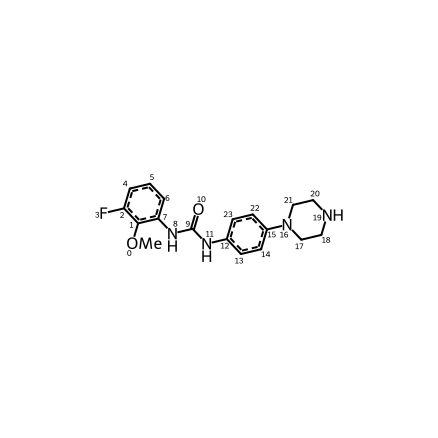 COc1c(F)cccc1NC(=O)Nc1ccc(N2CCNCC2)cc1